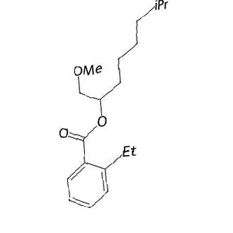 CCc1ccccc1C(=O)OC(CCCCC(C)C)COC